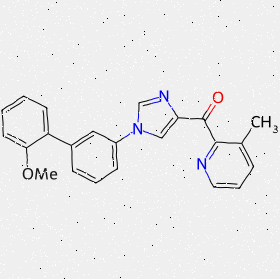 COc1ccccc1-c1cccc(-n2cnc(C(=O)c3ncccc3C)c2)c1